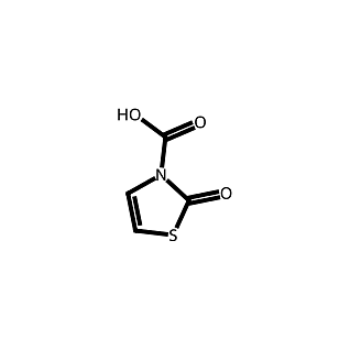 O=C(O)n1ccsc1=O